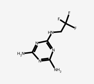 Nc1nc(N)nc(NCC(F)(F)F)n1